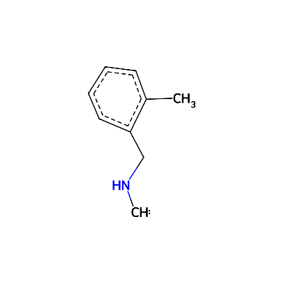 [CH]NCc1ccccc1C